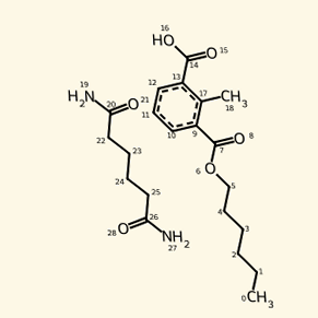 CCCCCCOC(=O)c1cccc(C(=O)O)c1C.NC(=O)CCCCC(N)=O